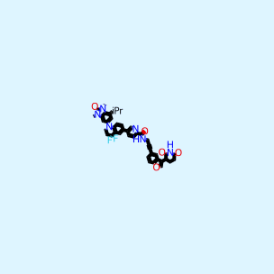 CC(C)c1cc(N2CCC(F)(F)c3cc(-c4ccc(C(=O)NCC#Cc5ccc6occ(C7CCC(=O)NC7=O)c6c5)nc4)ccc32)cc2c1n(C)c(=O)n2C